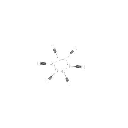 N#CN1N(C#N)N(C#N)N(C#N)N(C#N)N1C#N